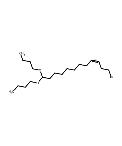 CCCCOC(CCCCCCC/C=C\CCBr)OCCCC